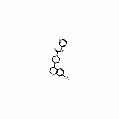 O=C(Nc1cccnc1)N1CCN(C2CCOc3cc(C(F)(F)F)ccc32)CC1